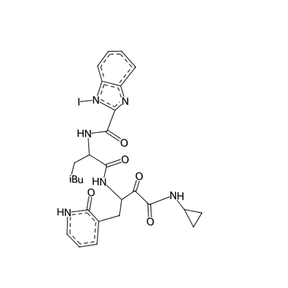 CCC(C)CC(NC(=O)c1nc2ccccc2n1I)C(=O)NC(Cc1ccc[nH]c1=O)C(=O)C(=O)NC1CC1